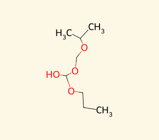 CCCOC(O)OCOC(C)C